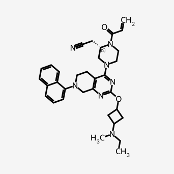 C=CC(=O)N1CCN(c2nc(OC3CC(N(C)CC)C3)nc3c2CCN(c2cccc4ccccc24)C3)C[C@@H]1CC#N